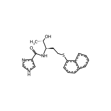 C[C@H](O)[C@@H](CCSc1cccc2ccccc12)NC(=O)c1c[nH]cn1